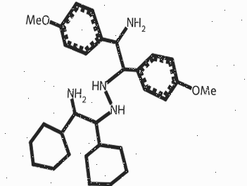 COc1ccc(C(N)C(NNC(C2CCCCC2)C(N)C2CCCCC2)c2ccc(OC)cc2)cc1